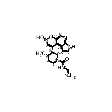 CCNC(=O)N1CC[C@H](C)[C@H](C2=CB(O)Oc3cnc4[nH]ccc4c32)C1